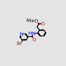 COC(=O)Cc1ccccc1NC(=O)c1cncc(Br)c1